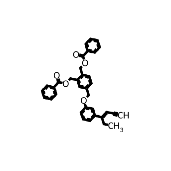 C#CC=C(CC)c1cccc(OCc2ccc(COC(=O)c3ccccc3)c(COC(=O)c3ccccc3)c2)c1